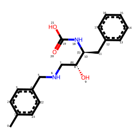 Cc1ccc(CNC[C@@H](O)[C@H](Cc2ccccc2)NC(=O)O)cc1